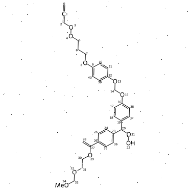 C=C=COOCCCOc1ccc(OCOc2ccc(C(OO)c3ccc(C(=C)OCCOCOC)cc3)cc2)cc1